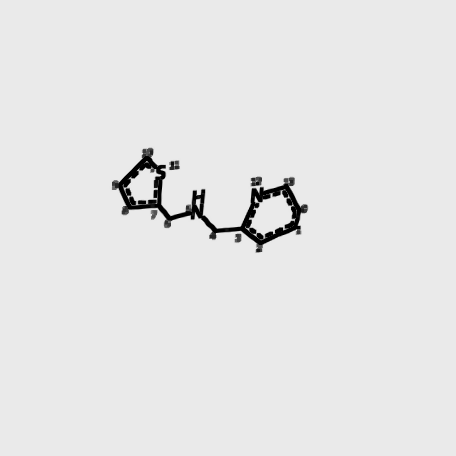 c1ccc(CNCc2cccs2)nc1